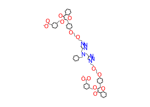 COC(=O)c1cccc(COc2c(-c3ccc(OCCOCCn4cc(CN(Cc5ccccc5)Cc5cn(CCOCCOc6ccc(-c7oc8ccccc8c(=O)c7OCc7cccc(C(=O)OC)c7)cc6)nn5)nn4)cc3)oc3ccccc3c2=O)c1